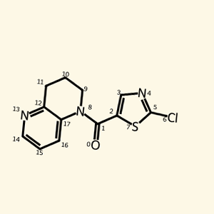 O=C(c1cnc(Cl)s1)N1CCCc2ncccc21